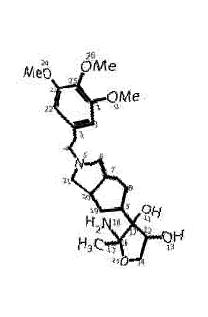 COc1cc(CN2CC3CC(C4(O)C(O)COC4(C)N)CC3C2)cc(OC)c1OC